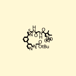 Cc1c(C(=O)NCC(=O)Nc2nc(-c3cccc(-c4ccnc(N(C)CC(=O)OC(C)(C)C)c4)c3)cs2)cn(S(C)(=O)=O)c1C